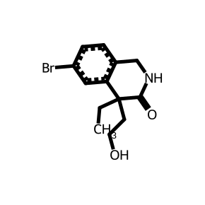 CCC1(CCO)C(=O)NCc2ccc(Br)cc21